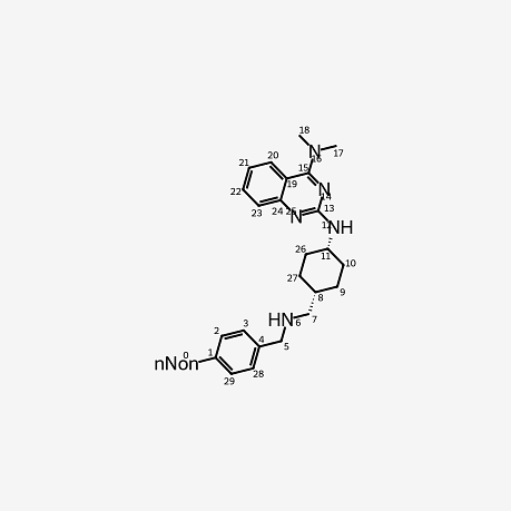 CCCCCCCCCc1ccc(CNC[C@H]2CC[C@@H](Nc3nc(N(C)C)c4ccccc4n3)CC2)cc1